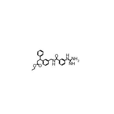 CCOC(=O)CC(c1ccccc1)c1cccc(CNC(=O)c2cccc(NC(=N)N)c2)c1